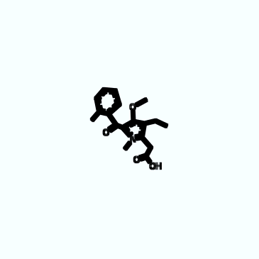 CCc1c(OC)c(C(=O)c2ccccc2C)n(C)c1CC(=O)O